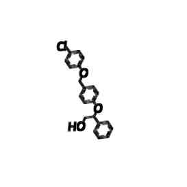 OCC(Oc1ccc(COc2ccc(Cl)cc2)cc1)c1ccccc1